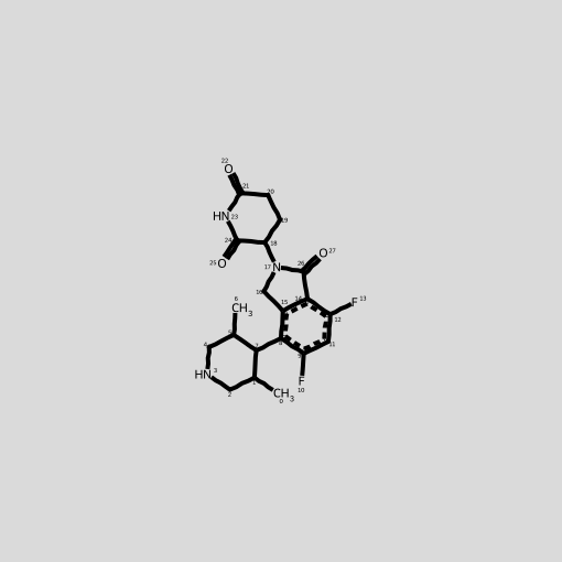 CC1CNCC(C)C1c1c(F)cc(F)c2c1CN(C1CCC(=O)NC1=O)C2=O